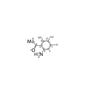 Cc1cc(N)c([C](=O)[Mo])c(C)c1C